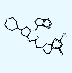 O=C(CN1CCn2c(cc(C(F)(F)F)cc2=O)C1)NC1CN(C2CCCOCC2)C[C@@H]1OC1CCc2cc[nH]c21